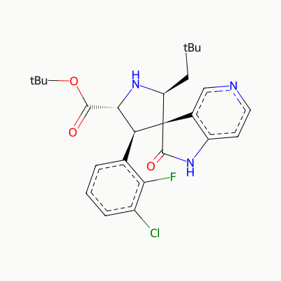 CC(C)(C)C[C@@H]1N[C@@H](C(=O)OC(C)(C)C)[C@H](c2cccc(Cl)c2F)[C@@]12C(=O)Nc1ccncc12